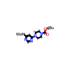 CNc1cc(N2CCN(C(=O)OC(C)(C)C)CC2)ncn1